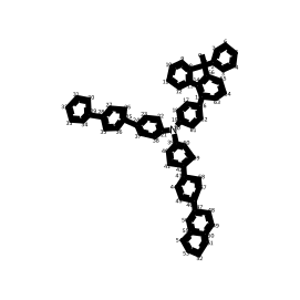 CC1(c2ccccc2)c2ccccc2-c2c(-c3ccc(N(c4ccc(-c5ccc(-c6ccccc6)cc5)cc4)c4ccc(-c5ccc(-c6ccc7ccccc7c6)cc5)cc4)cc3)cccc21